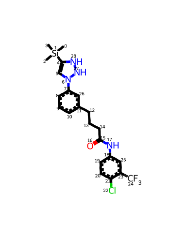 C[Si](C)(C)C1=CN(c2cccc(CCCC(=O)Nc3ccc(Cl)c(C(F)(F)F)c3)c2)NN1